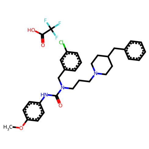 COc1ccc(NC(=O)N(CCCN2CCC(Cc3ccccc3)CC2)Cc2cccc(Cl)c2)cc1.O=C(O)C(F)(F)F